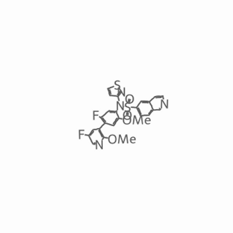 COc1cc(-c2cc(F)cnc2OC)c(F)cc1N(c1ccsn1)S(=O)(=O)c1ccc2cnccc2c1